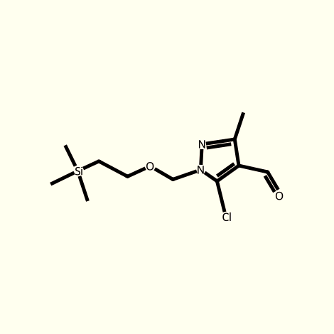 Cc1nn(COCC[Si](C)(C)C)c(Cl)c1C=O